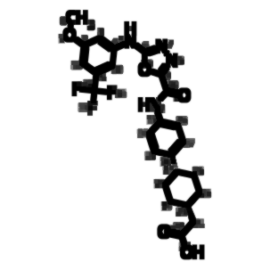 COc1cc(Nc2nnc(C(=O)Nc3ccc([C@H]4CC[C@H](CC(=O)O)CC4)cc3)o2)cc(C(F)(F)F)c1